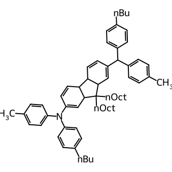 CCCCCCCCC1(CCCCCCCC)C2C=C(C(c3ccc(C)cc3)c3ccc(CCCC)cc3)C=CC2C2C=CC(N(c3ccc(C)cc3)c3ccc(CCCC)cc3)=CC21